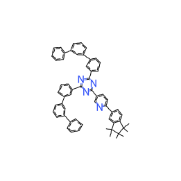 CC1(C)c2ccc(-c3ccc(-c4nc(-c5cccc(-c6cccc(-c7ccccc7)c6)c5)nc(-c5cccc(-c6cccc(-c7ccccc7)c6)c5)n4)cn3)cc2C(C)(C)C1(C)C